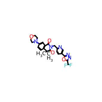 CC1(C)C(=O)N(Cc2ccc(-c3nnc(C(F)F)o3)cn2)C(=O)c2cc(N3CCOCC3)ccc21